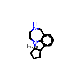 c1cc2c3c(c1)C1CCC[C@H]1N3CCNC2